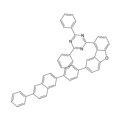 c1ccc(-c2ccc3cc(-c4ccc(-c5ccc6oc7cccc(-c8nc(-c9ccccc9)nc(-c9ccccc9)n8)c7c6c5)cc4)ccc3c2)cc1